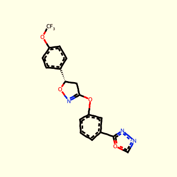 FC(F)(F)Oc1ccc([C@@H]2CC(Oc3cccc(-c4nnco4)c3)=NO2)cc1